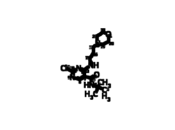 CC(C)(C)NC(=O)c1cnc(Cl)nc1NCCCN1CCOCC1